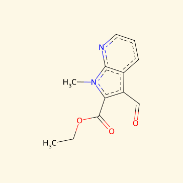 CCOC(=O)c1c(C=O)c2cccnc2n1C